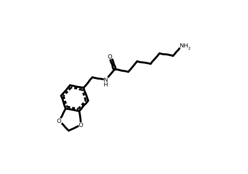 NCCCCCC(=O)NCc1ccc2c(c1)OCO2